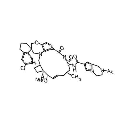 CO[C@H]1/C=C/C[C@H](C)CS(=O)(NC(=O)c2cc3n(c2)CCN(C(C)=O)C3)=NC(=O)c2ccc3c(c2)N(C[C@@H]2CC[C@H]21)C[C@@]1(CCCc2cc(Cl)ccc21)CO3